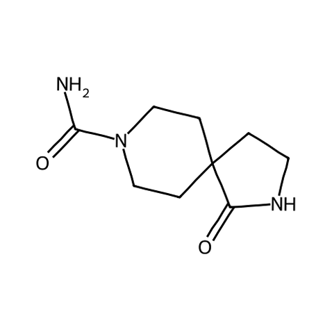 NC(=O)N1CCC2(CCNC2=O)CC1